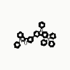 c1ccc(-n2c3ccc(-c4ccc5oc6c(c5c4)c4ccccc4n6-c4ccccc4)cc3c3cc(S(c4ccccc4)(c4ccccc4)c4ccccc4)ccc32)cc1